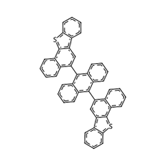 c1ccc2c(c1)sc1c3ccccc3c(-c3c4ccccc4c(-c4cc5c6ccccc6sc5c5ccccc45)c4ccccc34)cc21